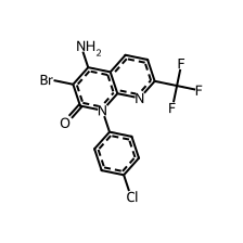 Nc1c(Br)c(=O)n(-c2ccc(Cl)cc2)c2nc(C(F)(F)F)ccc12